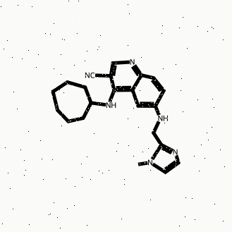 Cn1ccnc1CNc1ccc2ncc(C#N)c(NC3CCCCCC3)c2c1